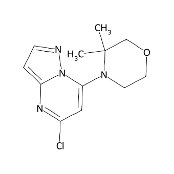 CC1(C)COCCN1c1cc(Cl)nc2ccnn12